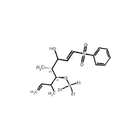 C=CC(C)[C@H](O[Si](CC)(CC)CC)[C@H](C)C(O)/C=C/S(=O)(=O)c1ccccc1